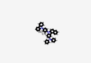 N#Cc1c(-n2c3c(c4ccccc42)C=CCC3)ccc(-n2c3ccc(N(c4ccccc4)c4ccccc4)cc3c3c4ccccc4ccc32)c1C#N